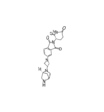 O=C1CCC(N2C(=O)c3ccc(N4CC(N5CC6C[C@H]5CN6)C4)cc3C2=O)C(=O)N1